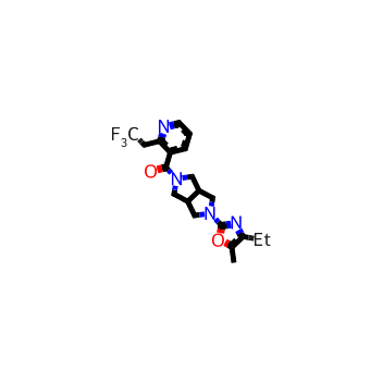 CCc1nc(N2CC3CN(C(=O)c4cccnc4CC(F)(F)F)CC3C2)oc1C